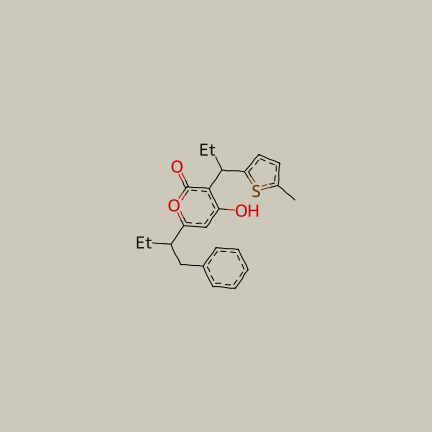 CCC(Cc1ccccc1)c1cc(O)c(C(CC)c2ccc(C)s2)c(=O)o1